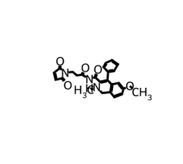 COc1ccc2c(c1)C(c1ccccc1)=C(C(=O)NC(=O)CCN1C(=O)C=CC1=O)N(C)C2